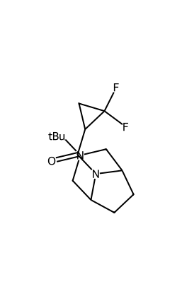 CC(C)(C)N1CC2CCC(C1)N2C(=O)C1CC1(F)F